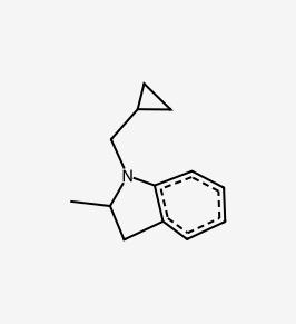 CC1Cc2ccccc2N1CC1CC1